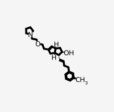 Cc1cccc(CC/C=C/[C@@H]2[C@H]3CC(CCOCCN4CCCC4)=C[C@H]3C[C@H]2O)c1